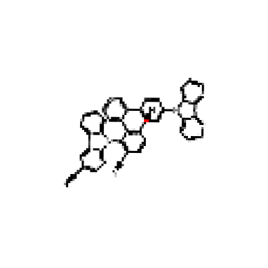 N#Cc1ccc2c(c1)c1ccccc1n2-c1c(C#N)ccc(C#N)c1-c1ccccc1-c1ccc(-n2c3ccccc3c3ccccc32)cc1